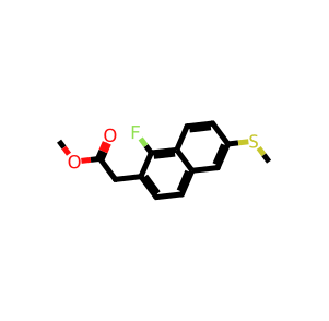 COC(=O)Cc1ccc2cc(SC)ccc2c1F